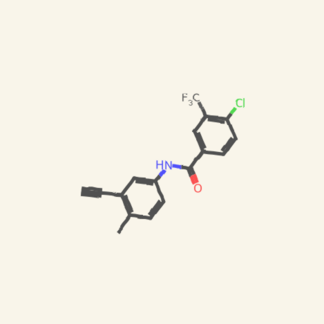 C#Cc1cc(NC(=O)c2ccc(Cl)c(C(F)(F)F)c2)ccc1C